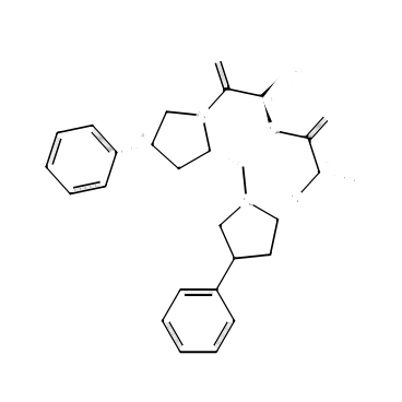 CC[C@H](C)[C@@H](NC(=O)[C@H](C)N)C(=O)N1C[C@@H](c2ccccc2)C[C@H]1CN1CCC(c2ccccc2)C1